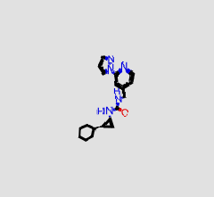 O=C(NCc1ccnc(-n2cccn2)c1)N[C@@H]1C[C@H]1C1CCCCC1